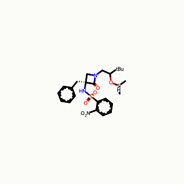 C[SiH](C)OC(CN1C[C@](Cc2ccccc2)(NS(=O)(=O)c2ccccc2[N+](=O)[O-])C1=O)C(C)(C)C